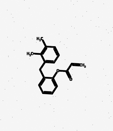 C=CC(=O)Oc1ccccc1Cc1cccc(C)c1C